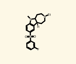 CCN1CCC2[C@H](CC1)c1cc(S(=O)(=O)c3cccc(F)c3)ccc1N2C